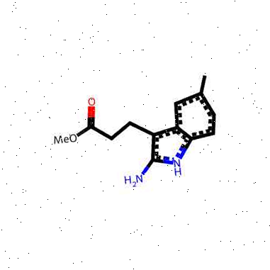 COC(=O)CCc1c(N)[nH]c2ccc(C)cc12